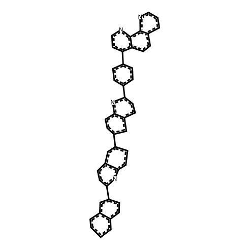 c1ccc2cc(-c3ccc4cc(-c5ccc6nc(-c7ccc(-c8ccnc9c8ccc8cccnc89)cc7)ccc6c5)ccc4n3)ccc2c1